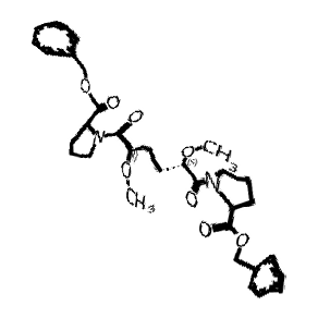 CO[C@@H](CC[C@@H](OC)C(=O)N1CCCC1C(=O)OCc1ccccc1)C(=O)N1CCCC1C(=O)OCc1ccccc1